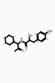 CC(=O)C(NC(=O)C(O)Cc1ccc(O)cc1)C1CCCCC1